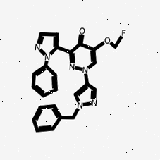 O=c1c(OCF)cn(-c2cnn(Cc3ccccc3)c2)nc1-c1ccnn1-c1ccccc1